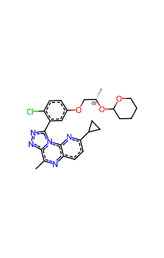 Cc1nc2ccc(C3CC3)nc2n2c(-c3cc(OC[C@H](C)OC4CCCCO4)ccc3Cl)nnc12